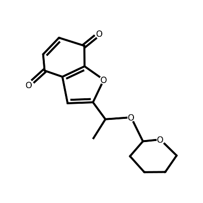 CC(OC1CCCCO1)c1cc2c(o1)C(=O)C=CC2=O